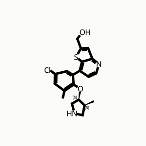 Cc1cc(Cl)cc(-c2ccnc3cc(CO)sc23)c1O[C@@H]1CNC[C@@H]1C